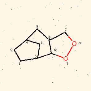 C1CC2CC1CC1COOC21